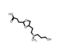 CN(CCCO)CCC1COC(CCC(=O)O)O1